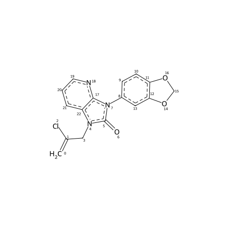 C=C(Cl)Cn1c(=O)n(-c2ccc3c(c2)OCO3)c2ncccc21